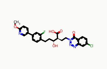 COc1ccc(-c2ccc(CC[C@@H](O)[C@H](CCn3nnc4cc(Cl)ccc4c3=O)C(=O)O)c(F)c2)cn1